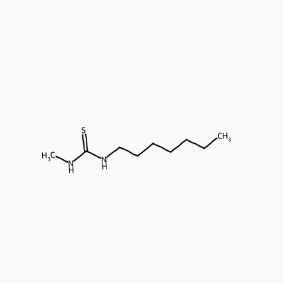 CCCCCCCNC(=S)NC